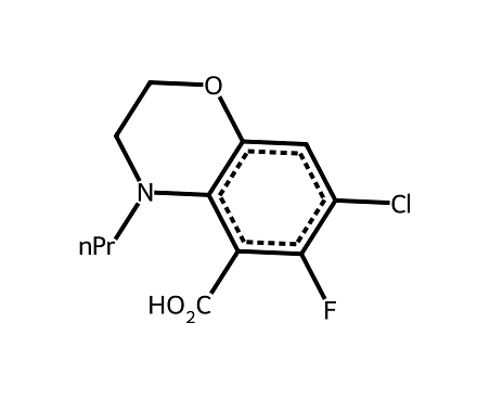 CCCN1CCOc2cc(Cl)c(F)c(C(=O)O)c21